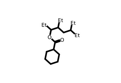 CCC(CC)CC(CC)C(CC)OC(=O)C1CCCCC1